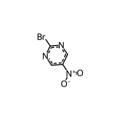 O=[N+]([O-])c1cnc(Br)nc1